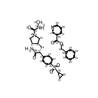 CNC(=O)N1CC[C@H](C[C@@H](C(N)=O)c2ccc(S(=O)(=O)C3CC3)cc2)C1.O=C(OCc1ccccc1)c1cccnc1